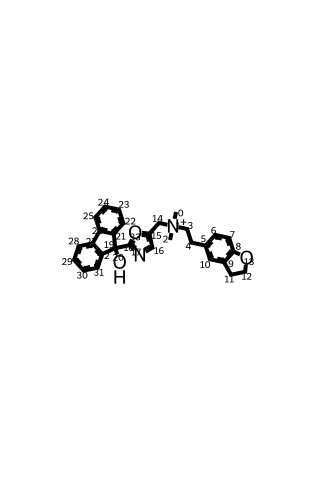 C[N+](C)(CCc1ccc2c(c1)CCO2)Cc1cnc(C2(O)c3ccccc3-c3ccccc32)o1